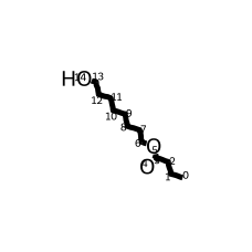 CCCC(=O)OCCCCCCCCO